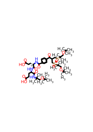 CC(C)(COC(C)(C)C)NC(=O)C(CCC(=O)O)NC(=O)[C@H](CCC(=O)O)NC(=O)c1ccc(C(=O)C(CSC(C)(C)COC(C)(C)C)CS(=O)(=O)C(C)(C)COC(C)(C)C)cc1